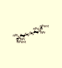 CCCCCO[Si](CCC)(CCC)CCSSSSCC[Si](CCC)(CCC)OCCCCC